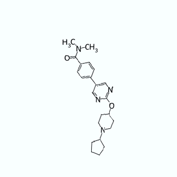 CN(C)C(=O)c1ccc(-c2cnc(OC3CCN(C4CCCC4)CC3)nc2)cc1